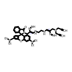 C#CCN(CC#C)C/C(=C/NCCN/C=C(/CN1C(=O)c2ccccc2C12c1ccc(N(CC)CC)cc1Oc1cc(N(CC)CC)ccc12)N=N)N=N